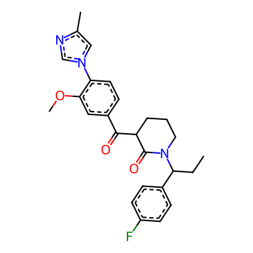 CCC(c1ccc(F)cc1)N1CCCC(C(=O)c2ccc(-n3cnc(C)c3)c(OC)c2)C1=O